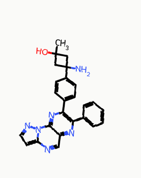 CC1(O)CC(N)(c2ccc(-c3nc4c(cnc5ccnn54)nc3-c3ccccc3)cc2)C1